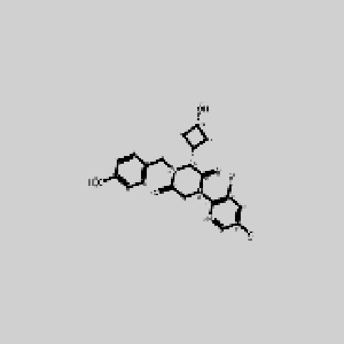 Cc1ccc(CN2C(=O)CN(c3ncc(Cl)cc3F)C(=O)C2[C@H]2C[C@@H](O)C2)cc1